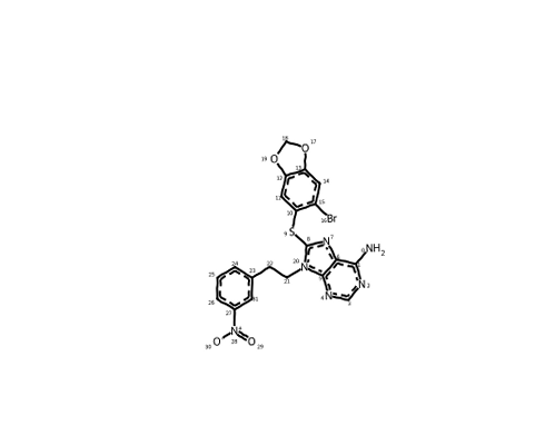 Nc1ncnc2c1nc(Sc1cc3c(cc1Br)OCO3)n2CCc1cccc([N+](=O)[O-])c1